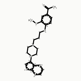 COc1cc(C(C)=O)ccc1OCCCN1CCN(c2csc3nccnc23)CC1